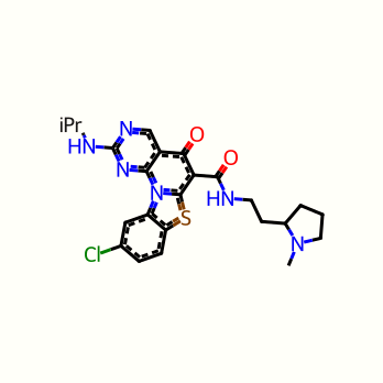 CC(C)Nc1ncc2c(=O)c(C(=O)NCCC3CCCN3C)c3sc4ccc(Cl)cc4n3c2n1